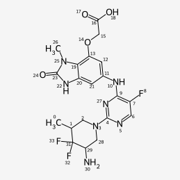 CC1CN(c2ncc(F)c(Nc3cc(OCC(=O)O)c4c(c3)[nH]c(=O)n4C)n2)CC(N)C1(F)F